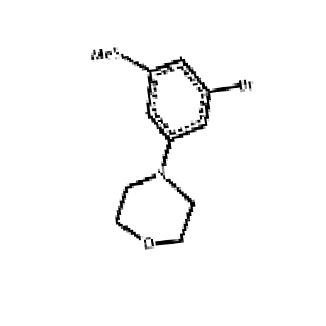 CSc1cc(Br)cc(N2CCOCC2)c1